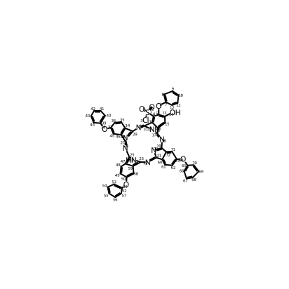 O=S(=O)(Cl)c1c(Oc2ccccc2)c(O)cc2c3nc4nc(nc5[nH]c(nc6nc(nc([nH]3)c12)-c1ccc(Oc2ccccc2)cc1-6)c1ccc(Oc2ccccc2)cc51)-c1ccc(Oc2ccccc2)cc1-4